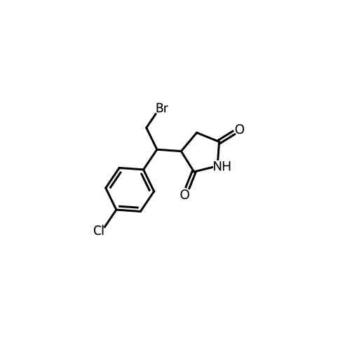 O=C1CC(C(CBr)c2ccc(Cl)cc2)C(=O)N1